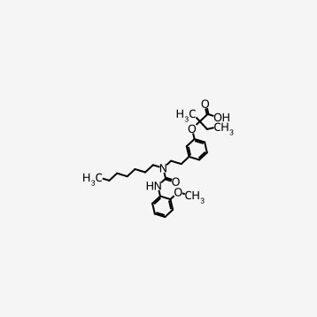 CCCCCCCN(CCc1cccc(OC(C)(CC)C(=O)O)c1)C(=O)Nc1ccccc1OC